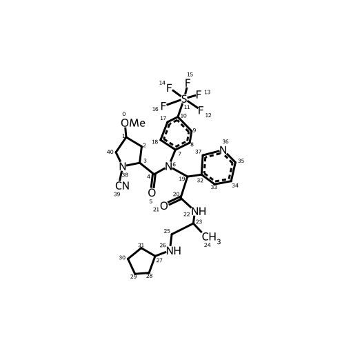 COC1CC(C(=O)N(c2ccc(S(F)(F)(F)(F)F)cc2)C(C(=O)NC(C)CNC2CCCC2)c2cccnc2)N(C#N)C1